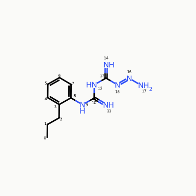 CCCc1ccccc1NC(=N)NC(=N)N=NN